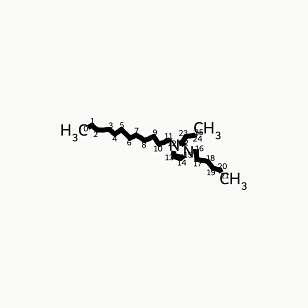 CCCCCCCCCCCCN1C=CN(CCCCCC)C1CCC